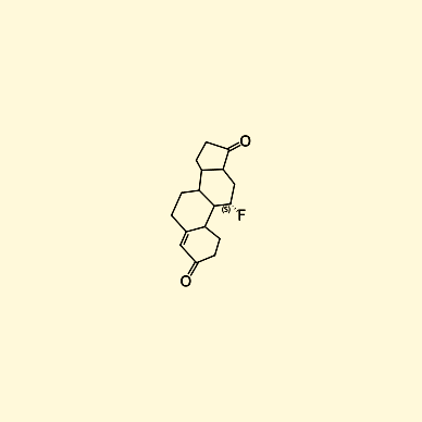 O=C1C=C2CCC3C4CCC(=O)C4C[C@H](F)C3C2CC1